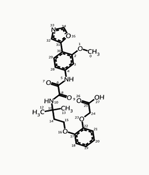 COc1cc(NC(=O)C(=O)NC(C)(C)CCOc2ccccc2OCC(=O)O)ccc1-c1cnco1